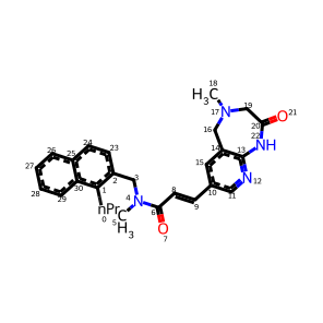 CCCc1c(CN(C)C(=O)C=Cc2cnc3c(c2)CN(C)CC(=O)N3)ccc2ccccc12